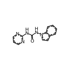 O=C(Nc1ncccn1)Nn1ccc2ccccc21